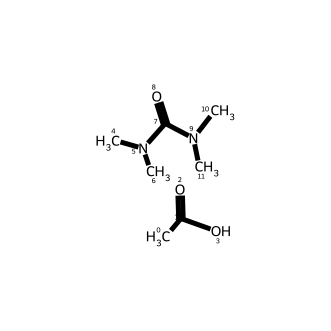 CC(=O)O.CN(C)C(=O)N(C)C